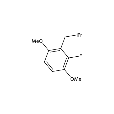 COc1ccc(OC)c(CC(C)C)c1F